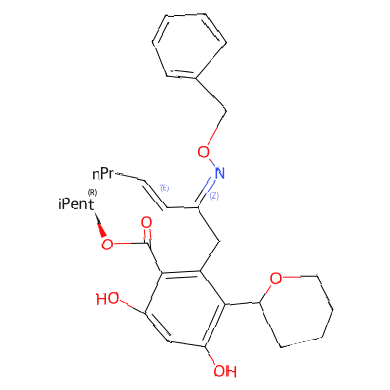 CCC/C=C/C(Cc1c(C(=O)O[C@H](C)CCC)c(O)cc(O)c1C1CCCCO1)=N\OCc1ccccc1